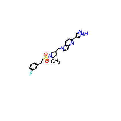 C[C@H]1CC(Cn2ccc3nc(-c4cn[nH]c4)ccc32)CN1S(=O)(=O)CCc1cccc(F)c1